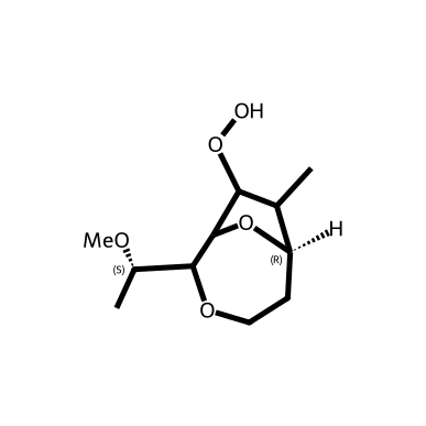 CO[C@@H](C)C1OCC[C@H]2OC1C(OO)C2C